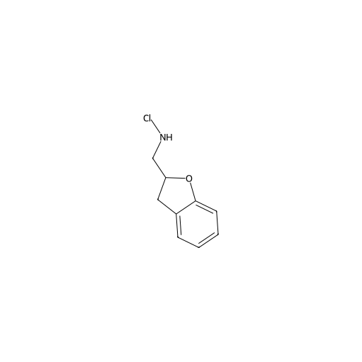 ClNCC1Cc2ccccc2O1